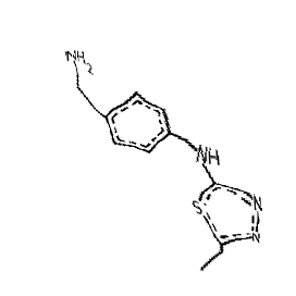 Cc1nnc(Nc2ccc(CN)cc2)s1